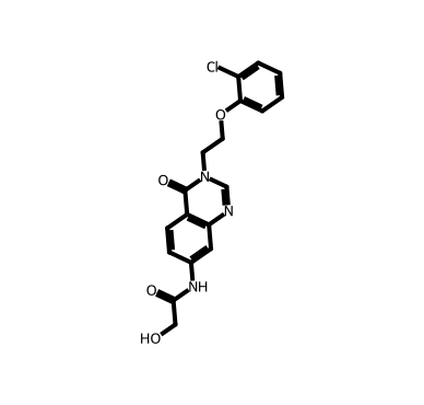 O=C(CO)Nc1ccc2c(=O)n(CCOc3ccccc3Cl)cnc2c1